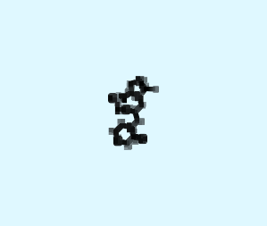 Cc1ncc([N+](=O)[O-])n1CC(O)CN1CCOCC1=O